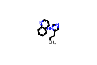 C=CCc1cnc[nH]1.c1ccc2ncccc2c1